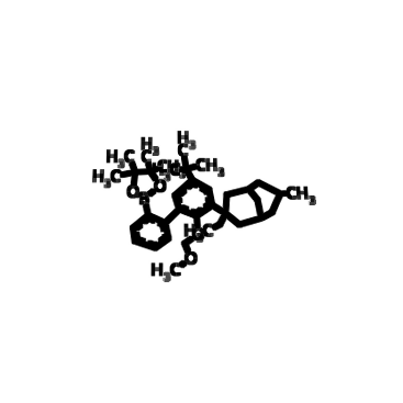 CCC1(c2cc(C(C)(C)C)cc(-c3ccccc3B3OC(C)(C)C(C)(C)O3)c2OCOC)CC2CC(C)CC(C2)C1